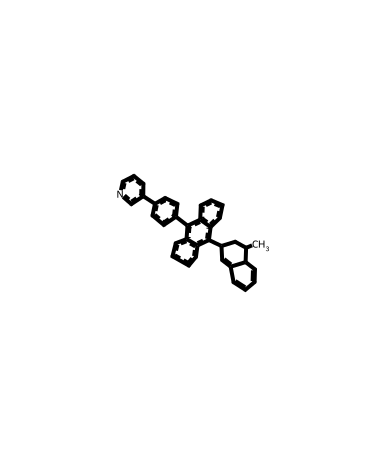 CC1CC(c2c3ccccc3c(-c3ccc(-c4cccnc4)cc3)c3ccccc23)C=C2C=CC=CC21